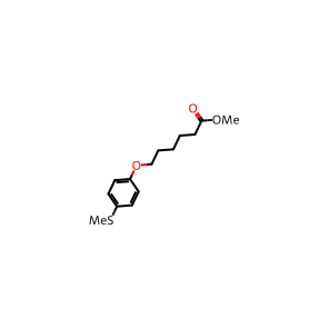 COC(=O)CCCCCOc1ccc(SC)cc1